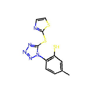 Cc1ccc(-n2nnnc2Sc2nccs2)c(S)c1